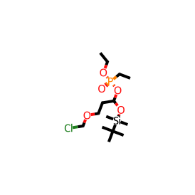 CCOP(=O)(CC)OC(CCOCCl)O[Si](C)(C)C(C)(C)C